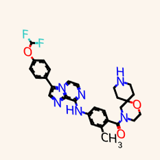 Cc1cc(Nc2nccn3c(-c4ccc(OC(F)F)cc4)cnc23)ccc1C(=O)N1CCOC2(CCNCC2)C1